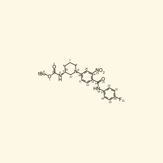 CC(C)(C)OC(=O)N[C@H]1CCCN(c2ccc(C(=O)Nc3ccc(F)cc3)c([N+](=O)[O-])c2)C1